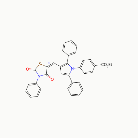 CCOC(=O)c1ccc(-n2c(-c3ccccc3)cc(/C=C3/SC(=O)N(c4ccccc4)C3=O)c2-c2ccccc2)cc1